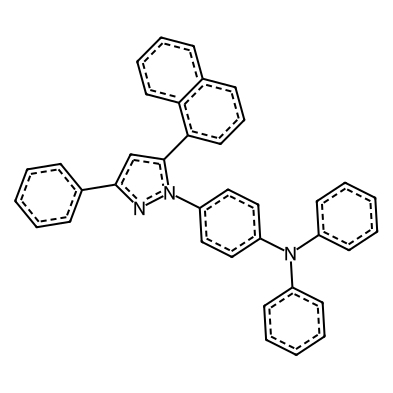 c1ccc(-c2cc(-c3cccc4ccccc34)n(-c3ccc(N(c4ccccc4)c4ccccc4)cc3)n2)cc1